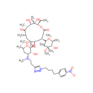 CC[C@H]1OC(=O)[C@H](C)[C@@H](C2C[C@@](C)(OC)[C@@H](O)[C@H](C)O2)[C@H](C)[C@@H](O[C@@H]2O[C@H](C)C[C@H](N(C)CCc3cn(CCCCc4ccc([N+](=O)[O-])cc4)nn3)[C@H]2O)[C@](C)(OC)C[C@@H](C)C(=O)[C@H](C)[C@@H](O)[C@]1(C)O